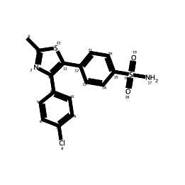 Cc1nc(-c2ccc(Cl)cc2)c(-c2ccc(S(N)(=O)=O)cc2)s1